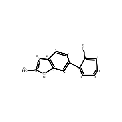 Fc1ccccc1-c1ccc2nc(S)oc2c1